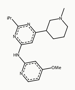 COc1ccnc(Nc2cc(C3CCCN(C)C3)nc(C(C)C)n2)c1